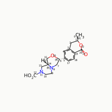 C[C@@H]1Cc2cc([C@@H]3CN4CCN(C(=O)O)C[C@@H]4CO3)ccc2C(=O)O1